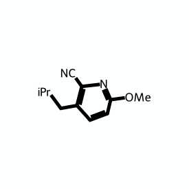 COc1ccc(CC(C)C)c(C#N)n1